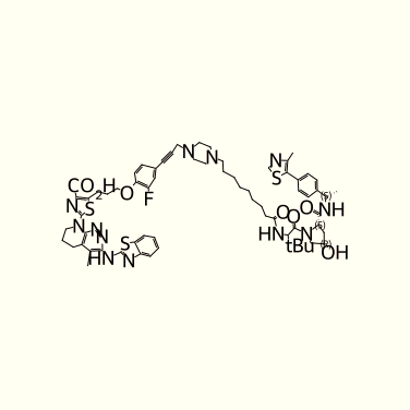 Cc1ncsc1-c1ccc([C@H](C)NC(=O)[C@@H]2C[C@@H](O)CN2C(=O)C(NC(=O)CCCCCCCCN2CCN(CC#Cc3ccc(OCCCc4sc(N5CCCc6c5nnc(Nc5nc7ccccc7s5)c6C)nc4C(=O)O)c(F)c3)CC2)C(C)(C)C)cc1